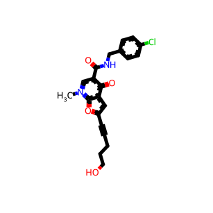 Cn1cc(C(=O)NCc2ccc(Cl)cc2)c(=O)c2cc(C#CCCCO)oc21